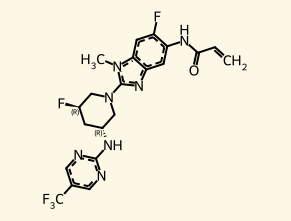 C=CC(=O)Nc1cc2nc(N3C[C@H](F)C[C@@H](Nc4ncc(C(F)(F)F)cn4)C3)n(C)c2cc1F